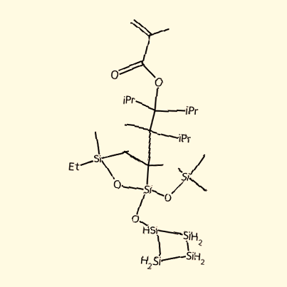 C=C(C)C(=O)OC(C(C)C)(C(C)C)C(C)(C(C)C)C(C)(C)[Si](O[SiH]1[SiH2][SiH2][SiH2]1)(O[Si](C)(C)C)O[Si](C)(C)CC